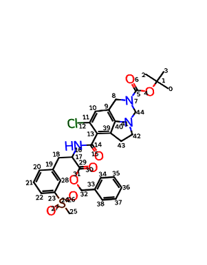 CC(C)(C)OC(=O)N1Cc2cc(Cl)c(C(=O)NC(Cc3cccc(S(C)(=O)=O)c3)C(=O)OCc3ccccc3)c3c2N(CC3)C1